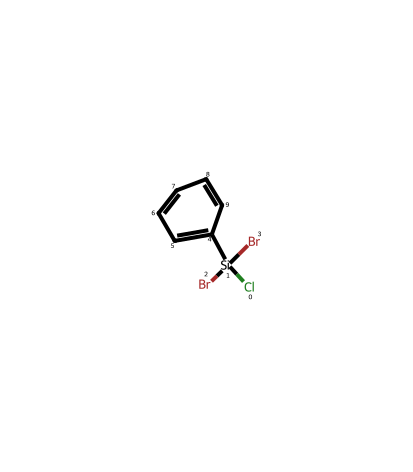 Cl[Si](Br)(Br)c1ccccc1